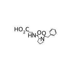 O=C(O)CCNC(=O)[C@@H]1CCCN1C(=O)Cc1ccccc1